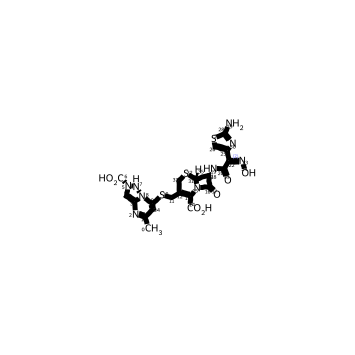 CC1=NC2=CN(C(=O)O)NN2C(SCC2=C(C(=O)O)N3C(=O)[C@@H](NC(=O)/C(=N\O)c4csc(N)n4)[C@H]3SC2)=C1